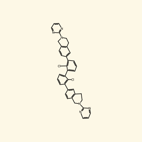 Clc1c(-c2ccc3c(c2)CCN(c2ncccn2)C3)cccc1-c1cccc(-c2ccc3c(c2)CCN(c2ncccn2)C3)c1Cl